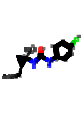 CC(=O)NC[C@@H]1C[C@]1(NC(=O)Nc1ccc(Cl)cc1)C(=O)O